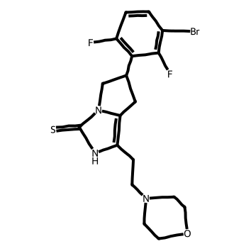 Fc1ccc(Br)c(F)c1C1Cc2c(CCN3CCOCC3)[nH]c(=S)n2C1